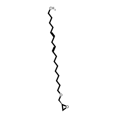 CCCCCC=CCC=CCCCCCCCCOC[C@@H]1CO1